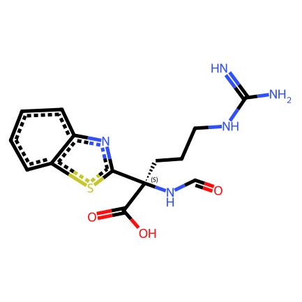 N=C(N)NCCC[C@](NC=O)(C(=O)O)c1nc2ccccc2s1